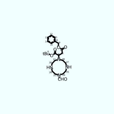 CC(C)(C)OC(=O)C(CC(=O)OCc1ccccc1)N1CCNCCN(C=O)CCNCC1